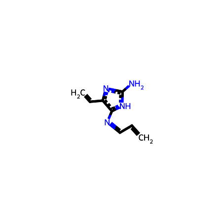 C=C/C=N\c1[nH]c(N)nc1C=C